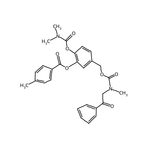 Cc1ccc(C(=O)Oc2cc(COC(=O)N(C)CC(=O)c3ccccc3)ccc2OC(=O)N(C)C)cc1